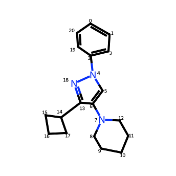 c1ccc(-n2cc(N3CCCCC3)c(C3CCC3)n2)cc1